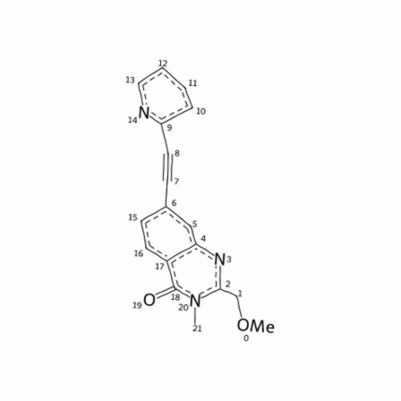 COCc1nc2cc(C#Cc3ccccn3)ccc2c(=O)n1C